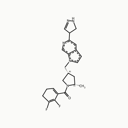 C[C@H]1C[C@@H](Cn2ccc3cc(C4C=NNC4)ncc32)CN1C(=O)C1=CCCC(F)=C1F